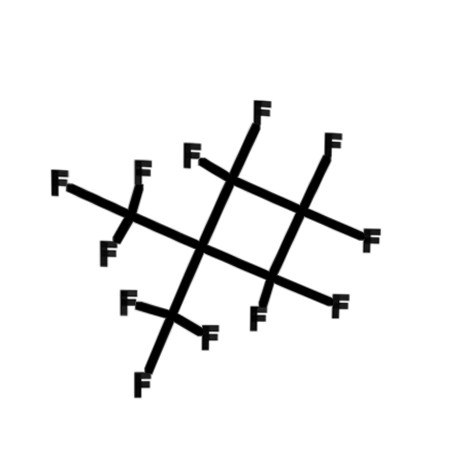 FC(F)(F)C1(C(F)(F)F)C(F)(F)C(F)(F)C1(F)F